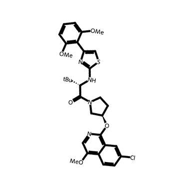 COc1cccc(OC)c1-c1csc(N[C@H](C(=O)N2CC[C@@H](Oc3ncc(OC)c4ccc(Cl)cc34)C2)C(C)(C)C)n1